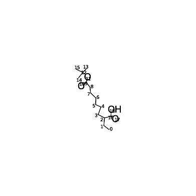 CCC(CCCCCCC(=O)OC(C)(C)C)C(=O)O